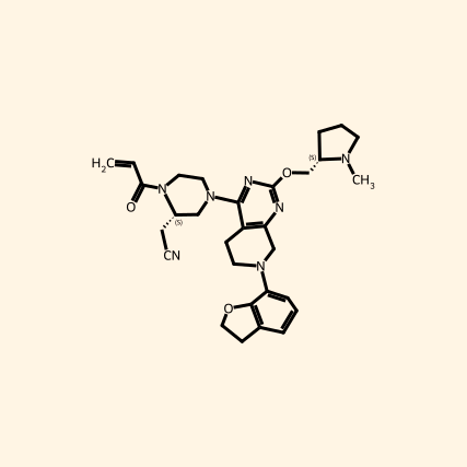 C=CC(=O)N1CCN(c2nc(OC[C@@H]3CCCN3C)nc3c2CCN(c2cccc4c2OCC4)C3)C[C@@H]1CC#N